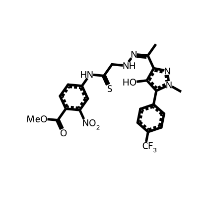 COC(=O)c1ccc(NC(=S)CNN=C(C)c2nn(C)c(-c3ccc(C(F)(F)F)cc3)c2O)cc1[N+](=O)[O-]